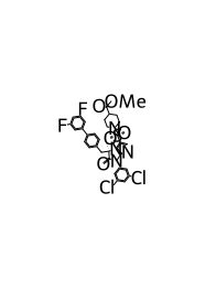 COC(=O)C1CCN(S(=O)(=O)c2cnc3n2[C@](C)(Cc2ccc(-c4cc(F)cc(F)c4)cc2)C(=O)N3c2cc(Cl)cc(Cl)c2)CC1